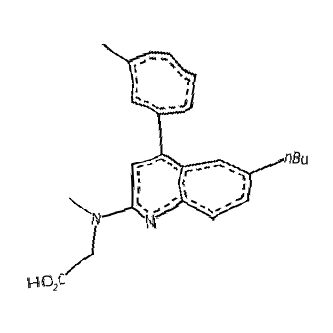 CCCCc1ccc2nc(N(C)CC(=O)O)cc(-c3cccc(C)c3)c2c1